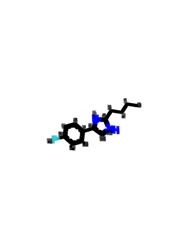 CCCCc1nc(-c2ccc(F)cc2)c[nH]1